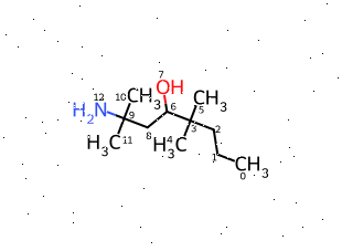 CCCC(C)(C)C(O)CC(C)(C)N